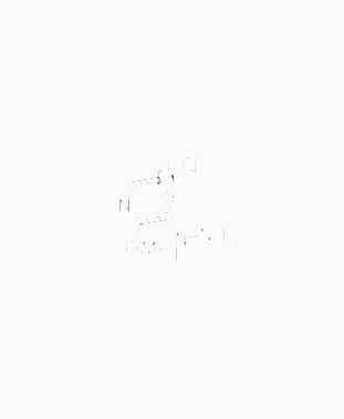 COc1ncccc1NN.Cl.Cl